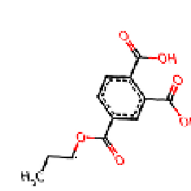 CC[CH]OC(=O)c1ccc(C(=O)O)c(C(=O)O)c1